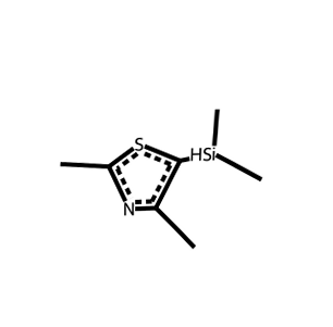 Cc1nc(C)c([SiH](C)C)s1